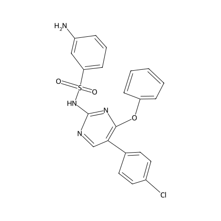 Nc1cccc(S(=O)(=O)Nc2ncc(-c3ccc(Cl)cc3)c(Oc3ccccc3)n2)c1